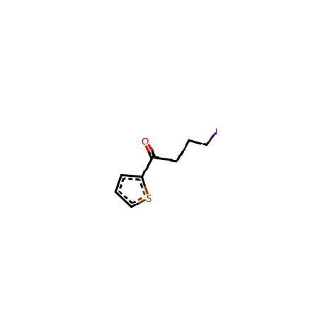 O=C(CCCI)c1cccs1